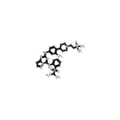 Cc1cc(Nc2nc(Nc3ccccc3S(=O)(=O)C(C)C)n3nccc3n2)ccc1C1CCN(CC[SH](C)(=O)P)CC1